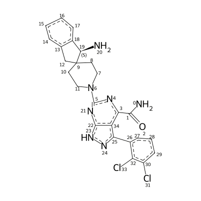 NC(=O)c1nc(N2CCC3(CC2)Cc2ccccc2[C@H]3N)nc2[nH]nc(-c3cccc(Cl)c3Cl)c12